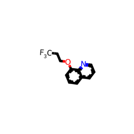 FC(F)(F)CCOc1cccc2cccnc12